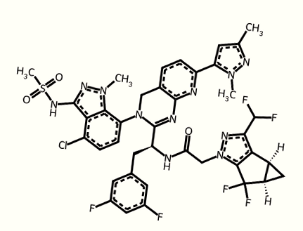 Cc1cc(-c2ccc3c(n2)N=C([C@H](Cc2cc(F)cc(F)c2)NC(=O)Cn2nc(C(F)F)c4c2C(F)(F)[C@@H]2C[C@H]42)N(c2ccc(Cl)c4c(NS(C)(=O)=O)nn(C)c24)C3)n(C)n1